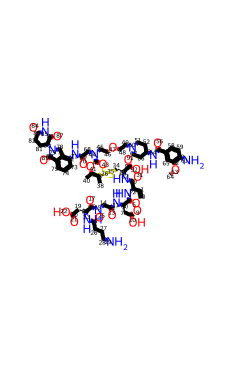 C=C[C@@H](NC(=O)[C@@H](CC(=O)O)NC(=O)CNC(=O)[C@@H](CC(=O)O)NC(=O)CCCN)C(=O)N[C@H](CSSC(C)C(C)OC(=O)N(CCOCCN1CCC(NC(=O)c2ccc(N)c(OC)c2)CC1)CC(=O)Nc1cccc2c1CN(C1CCC(=O)NC1=O)C2=O)C(=O)O